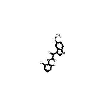 COc1ccc2[nH]cc(C(=O)C(=O)Nc3c(Cl)cccc3Cl)c2c1